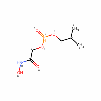 CC(C)CO[PH](=O)OCC(=O)NO